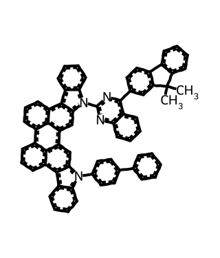 CC1(C)c2ccccc2-c2ccc(-c3nc(-n4c5ccccc5c5c6cccc7c8cccc9c8c(cc8c9c9ccccc9n8-c8ccc(-c9ccccc9)cc8)c(cc54)c76)nc4ccccc34)cc21